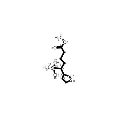 COC(=O)CCCC(C1CCSS1)[Si](C)(C)C